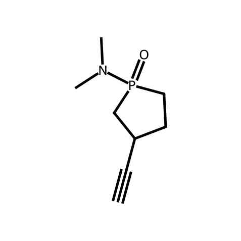 C#CC1CCP(=O)(N(C)C)C1